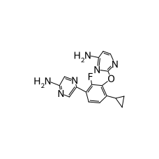 Nc1cnc(-c2ccc(C3CC3)c(Oc3nccc(N)n3)c2F)cn1